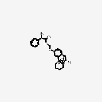 CCC(C(=O)OCOc1ccc2c(c1)[C@@]13CCCC[C@H]1[C@@H](C2)NCC3)c1ccccc1